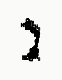 CCN1C(=O)CNc2ncc(-c3ccc(-c4ncn(CCCOCCCO[C@H]5CCN6[C@H]5C(=O)N(c5ccc(C#N)c(Cl)c5C)S6(=O)=O)n4)nc3C)nc21